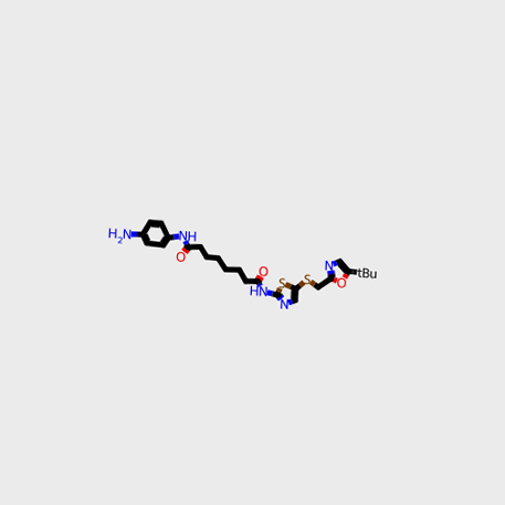 CC(C)(C)c1cnc(CSc2cnc(NC(=O)CCCCCCC(=O)Nc3ccc(N)cc3)s2)o1